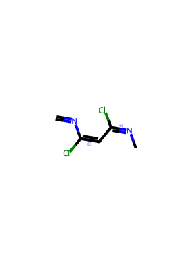 C=N/C(Cl)=C\C(Cl)=N/C